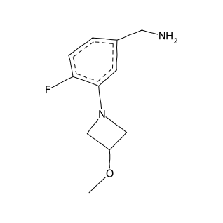 COC1CN(c2cc(CN)ccc2F)C1